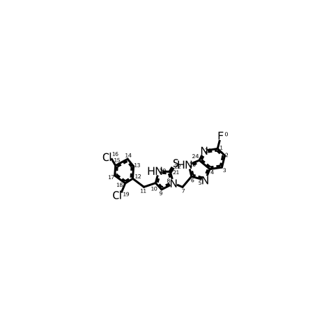 Fc1ccc2nc(Cn3cc(Cc4ccc(Cl)cc4Cl)[nH]c3=S)[nH]c2n1